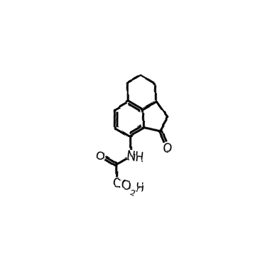 O=C(O)C(=O)Nc1ccc2c3c1C(=O)CC3CCC2